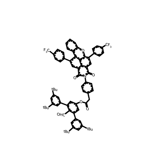 CC(C)(C)c1cc(-c2cc(OC(=O)Cc3ccc(-n4c(=O)c5cc(-c6ccc(C(F)(F)F)cc6)c6oc7ccccc7c7c(-c8ccc(C(F)(F)F)cc8)cc(c4=O)c5c67)cc3)cc(-c3cc(C(C)(C)C)cc(C(C)(C)C)c3)c2C=O)cc(C(C)(C)C)c1